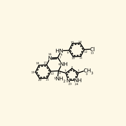 Cc1cc(C2(N)NC(Nc3ccc(Cl)cc3)=Nc3ccccc32)n[nH]1